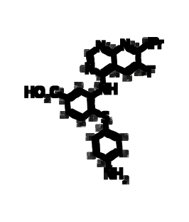 CC(C)c1nc2ncnc(Nc3cc(C(=O)O)ccc3Sc3ccc(N)cc3)c2cc1F